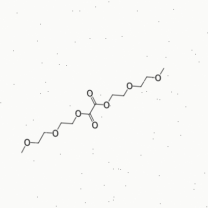 COCCOCCOC(=O)C(=O)OCCOCCOC